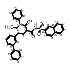 CCN(C(=O)C(CCc1cccc(-c2ccccc2)c1)C(=O)NS(=O)(=O)c1ccc2ccccc2c1)c1ccccc1